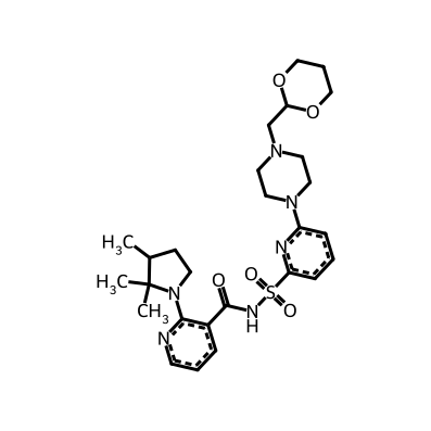 CC1CCN(c2ncccc2C(=O)NS(=O)(=O)c2cccc(N3CCN(CC4OCCCO4)CC3)n2)C1(C)C